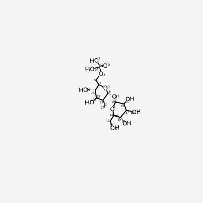 O=P(O)(O)OCC1O[C@H](O[C@H]2OC(CO)[C@@H](O)C(O)C2O)C(F)C(O)[C@@H]1O